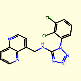 Clc1cccc(-n2nnnc2NCc2ccnc3cccnc23)c1Cl